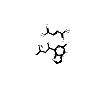 CC(N)CC(C)c1cc(F)cc2ccoc12.O=C(O)C=CC(=O)O